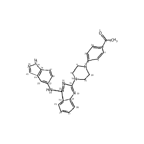 CC(=O)c1ccc(N2CCN(c3nc(Nc4ccc5[nH]ncc5c4)c4ccccc4n3)CC2)cc1